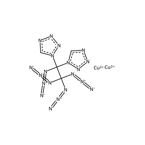 [Cu+2].[Cu+2].[N-]=[N+]=NC(N=[N+]=[N-])(N=[N+]=[N-])C(N=[N+]=[N-])(n1cnnn1)n1cnnn1